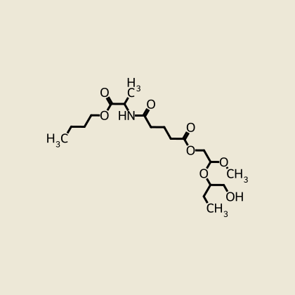 CCCCOC(=O)C(C)NC(=O)CCCC(=O)OCC(OC)OC(CC)CO